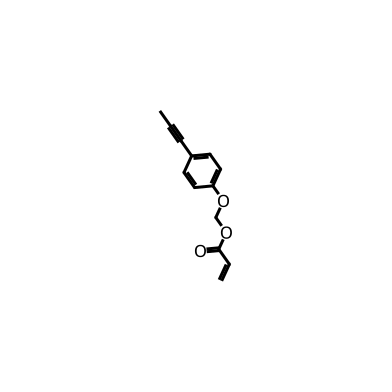 C=CC(=O)OCOc1ccc(C#CC)cc1